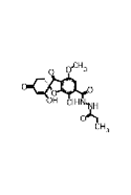 CCC(=O)NNC(=O)c1cc(OC)c2c(c1Cl)O[C@]1(CCC(=O)C=C1O)C2=O